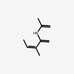 C=C(C)NC(=C)/C(C)=C\C